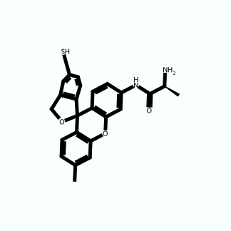 Cc1ccc2c(c1)Oc1cc(NC(=O)[C@H](C)N)ccc1C21OCc2cc(S)ccc21